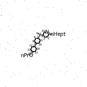 CCCCCCCc1ccc(C(C)c2ccc(-c3ccc(OCCC)cc3)cc2)cn1